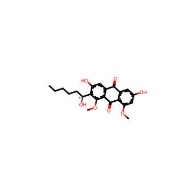 CCCCC[C@H](O)c1c(O)cc2c(c1OC)C(=O)c1c(OC)cc(O)cc1C2=O